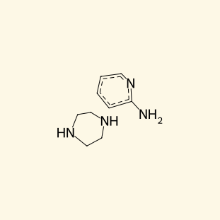 C1CNCCN1.Nc1ccccn1